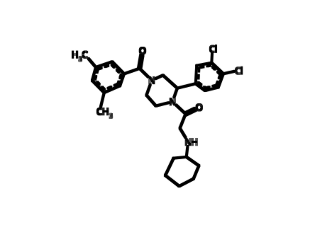 Cc1cc(C)cc(C(=O)N2CCN(C(=O)CNC3CCCCC3)C(c3ccc(Cl)c(Cl)c3)C2)c1